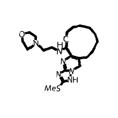 CSC1=NC2=NC3=C(CCCCCCCCCC3NCCN3CCOCC3)CN2N1